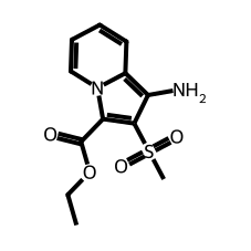 CCOC(=O)c1c(S(C)(=O)=O)c(N)c2ccccn12